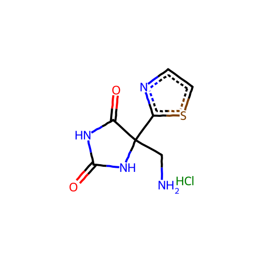 Cl.NCC1(c2nccs2)NC(=O)NC1=O